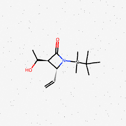 C=C[C@@H]1[C@@H](C(C)O)C(=O)N1[Si](C)(C)C(C)(C)C